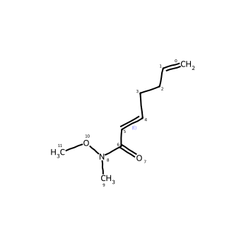 C=CCC/C=C/C(=O)N(C)OC